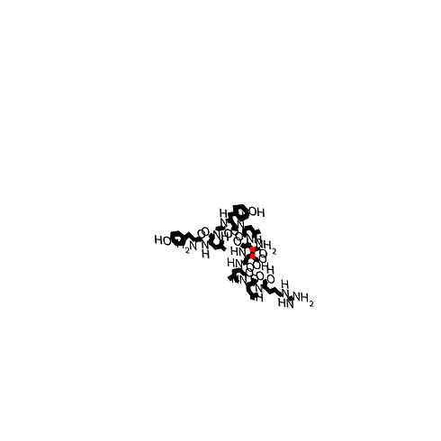 CC(C)CC(NC(=O)C(N)Cc1ccc(O)cc1)C(=O)NCC(=O)NC(Cc1ccc(O)cc1)C(=O)NC(CC(C)C)C(=O)NC(CCC(=O)O)C(=O)NC(CCC(N)=O)C(=O)NC(CC(C)C)C(=O)NC(CC(C)C)C(=O)NC(CCCNC(=N)N)C(=O)O